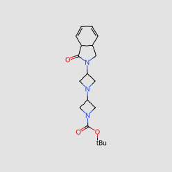 CC(C)(C)OC(=O)N1CC(N2CC(N3CC4C=CC=CC4C3=O)C2)C1